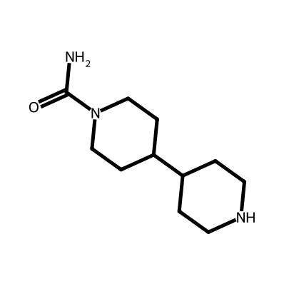 NC(=O)N1CCC(C2CCNCC2)CC1